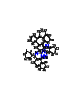 c1ccc(-c2nc3nc(-c4ccccc4-n4c5cccc6c5c5c7c(cccc7ccc54)-c4ccccc4-6)nn3c3c2ccc2ccccc23)cc1